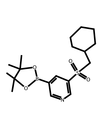 CC1(C)OB(c2cncc(S(=O)(=O)CC3CCCCC3)c2)OC1(C)C